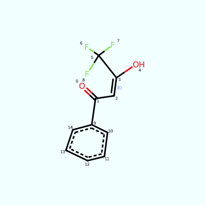 O=C(/C=C(/O)C(F)(F)F)c1ccccc1